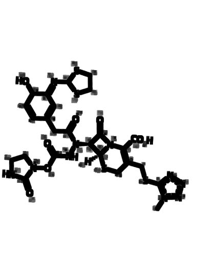 Cn1nnnc1SCC1=C(C(=O)O)N2C(=O)[C@H](N(NC(=O)ON3CCNC3=O)C(=O)CC3=CC(=NC4SCCS4)C(O)C=C3)[C@@H]2SC1